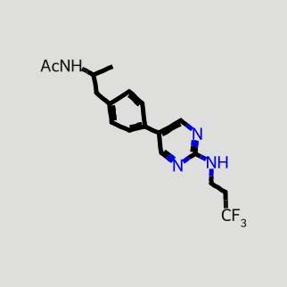 CC(=O)NC(C)Cc1ccc(-c2cnc(NCCC(F)(F)F)nc2)cc1